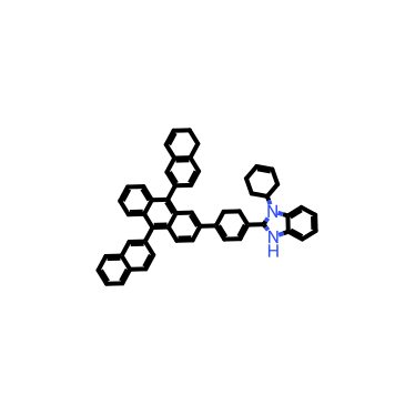 C1=Cc2cc(-c3c4ccccc4c(-c4ccc5ccccc5c4)c4ccc(C5=CC=C(C6Nc7ccccc7N6C6CC=CCC6)CC5)cc34)ccc2CC1